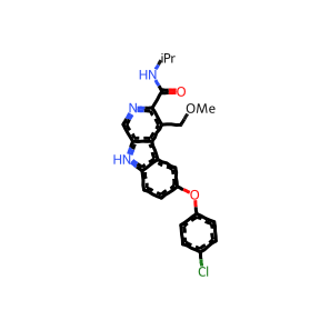 COCc1c(C(=O)NC(C)C)ncc2[nH]c3ccc(Oc4ccc(Cl)cc4)cc3c12